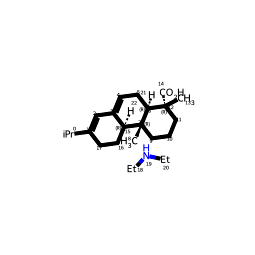 CC(C)C1=CC2=CC[C@@H]3[C@](C)(CCC[C@@]3(C)C(=O)O)[C@H]2CC1.CCNCC